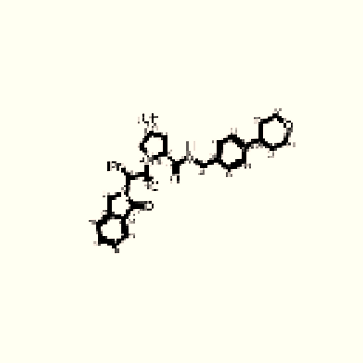 CC(C)C(C(=O)N1C[C@H](O)C[C@H]1C(=O)NCc1ccc(C2CCOCC2)cc1)N1Cc2ccccc2C1=O